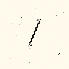 CN(C)CCCCCCCCCCCC[SiH](C)C